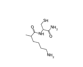 CC(CCCCN)C(=O)NC(CS)C(N)=O